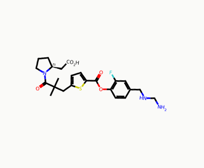 CC(C)(Cc1ccc(C(=O)Oc2ccc(CNCN)cc2F)s1)C(=O)N1CCC[C@H]1CC(=O)O